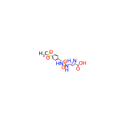 CS(=O)(=O)c1ccc(CNS(=O)(=O)NCCC(N)C(=O)O)cc1